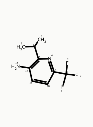 CC(C)c1nc(C(F)(F)F)ccc1N